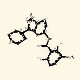 Nc1ccc(F)c(C(=O)Nc2cnc3[nH]nc(-c4ccncc4)c3c2)c1F